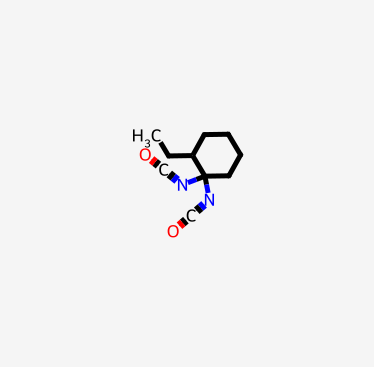 CCC1CCCCC1(N=C=O)N=C=O